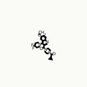 COc1ccc2ncc(C(=O)N3CCN(C(=O)C4CC4)CC3)c(N3CCC(F)(F)CC3)c2c1